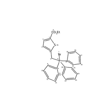 CCOC(=O)c1ccc(CP(Br)(c2ccccc2)(c2ccccc2)c2ccccc2)s1